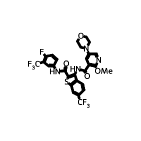 COc1ncc(N2CCOCC2)cc1C(=O)Nc1c(C(=O)Nc2ccc(F)c(C(F)(F)F)c2)sc2cc(C(F)(F)F)ccc12